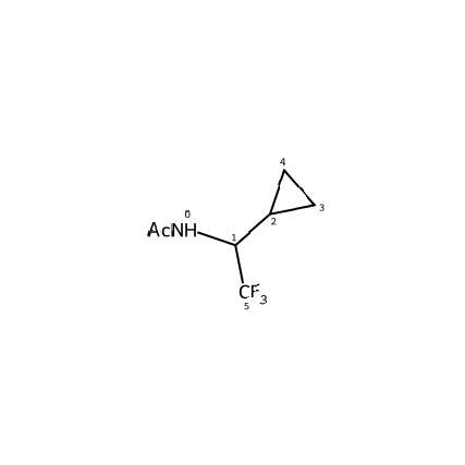 CC(=O)NC(C1CC1)C(F)(F)F